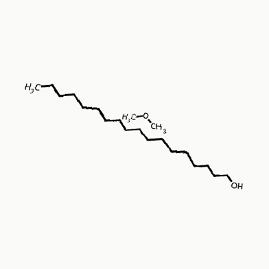 CCCCCCCCCCCCCCCCCCO.COC